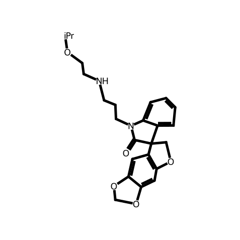 CC(C)OCCNCCCN1C(=O)C2(COc3cc4c(cc32)OCO4)c2ccccc21